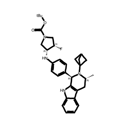 C[C@@H]1Cc2c([nH]c3ccccc23)[C@@H](c2ccc(N[C@@H]3CN(C(=O)OC(C)(C)C)C[C@@H]3F)cc2)N1C12CC(C1)C2